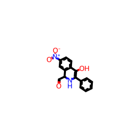 O=CC1NC(c2ccccc2)=C(O)c2ccc([N+](=O)[O-])cc21